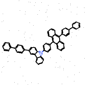 c1ccc(-c2ccc(-c3ccc4c(c3)c3ccccc3n4-c3ccc(-c4c5ccccc5c(-c5ccc(-c6ccccc6)cc5)c5ccccc45)cc3)cc2)cc1